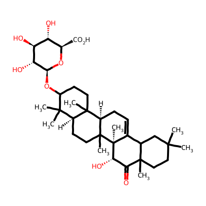 CC1(C)CCC2(C)C(=O)[C@H](O)[C@]3(C)C(=CC[C@@H]4C5(C)CCC(O[C@@H]6O[C@H](C(=O)O)[C@@H](O)[C@H](O)[C@H]6O)C(C)(C)[C@@H]5CCC43C)C2C1